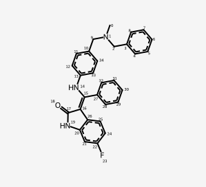 CN(Cc1ccccc1)Cc1ccc(N/C(=C2\C(=O)Nc3cc(F)ccc32)c2ccccc2)cc1